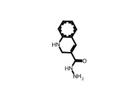 NNC(=O)C1=Cc2ccccc2NC1